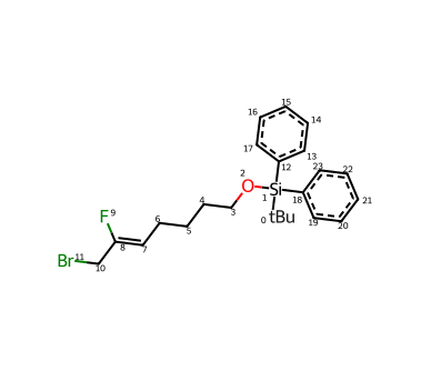 CC(C)(C)[Si](OCCCC/C=C(\F)CBr)(c1ccccc1)c1ccccc1